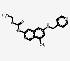 CCNC(=O)Nc1cc2cc(NCc3ccncc3)cc(C)c2cn1